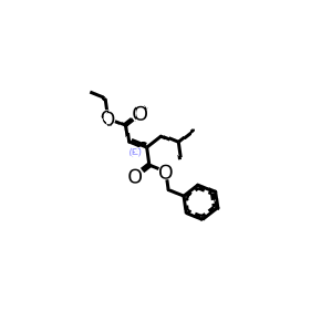 CCOC(=O)/C=C(\CC(C)C)C(=O)OCc1ccccc1